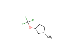 CC1CCC(OC(F)(F)F)C1